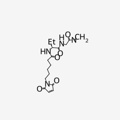 C=NC(=O)CNC(=O)[C@H](CC)NC(=O)CCCCCN1C(=O)C=CC1=O